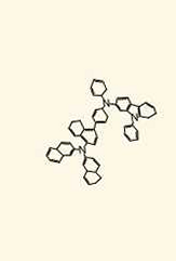 C1=CCC(N(c2ccc3c4c(n(-c5ccccc5)c3c2)CCC=C4)C2C=CC(c3ccc(N(C4=CC5C=CC=CC5C=C4)C4=CC5C=CCCC5C=C4)c4c3CCC=C4)=CC2)C=C1